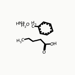 CCCCC(=O)O.Cc1ccccc1.O.[NaH]